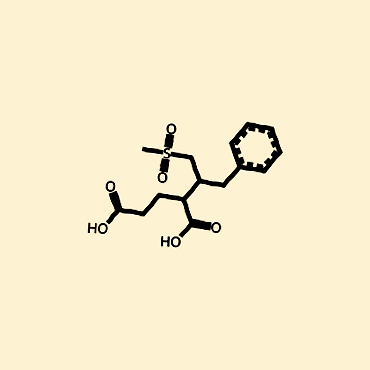 CS(=O)(=O)CC(Cc1ccccc1)C(CCC(=O)O)C(=O)O